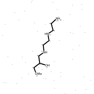 COCC(O)CNCCNCCN